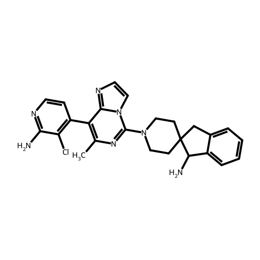 Cc1nc(N2CCC3(CC2)Cc2ccccc2C3N)n2ccnc2c1-c1ccnc(N)c1Cl